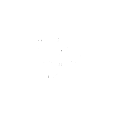 C=CC(=O)N1Cc2sc(Cl)cc2[C@H](c2ccccc2-c2cncc3ccc(C)cc23)C1